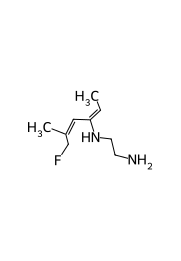 C/C=C(\C=C(\C)CF)NCCN